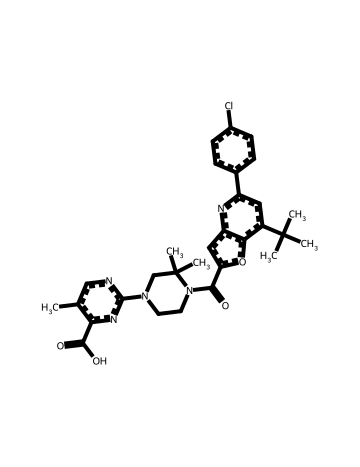 Cc1cnc(N2CCN(C(=O)c3cc4nc(-c5ccc(Cl)cc5)cc(C(C)(C)C)c4o3)C(C)(C)C2)nc1C(=O)O